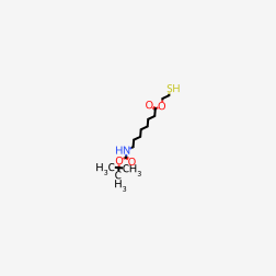 CC(C)(C)OC(=O)NCCCCCCCC(=O)OCCS